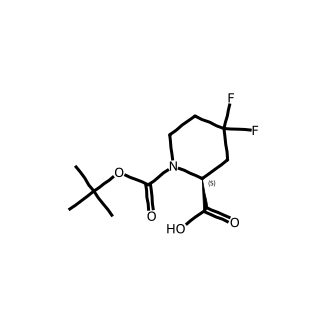 CC(C)(C)OC(=O)N1CCC(F)(F)C[C@H]1C(=O)O